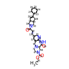 CCOC(=O)N1CCN2Cc3cc(/C=C/C(=O)N4CC5C=C(c6ccccc6)CC5C4)cnc3NC(=O)C2C1